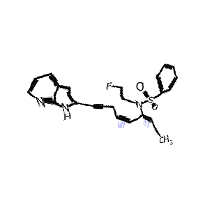 C/C=C(\C=C/CC#Cc1cc2cccnc2[nH]1)N(CCF)S(=O)(=O)c1ccccc1